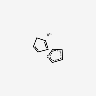 C1=CCC=C1.[Ti+2].c1cc[cH-]c1